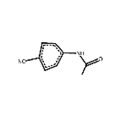 N#Cc1ccc(NC(=O)I)cc1